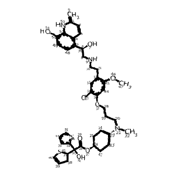 C=C1C=Cc2c([C@@H](O)CNCCc3cc(Cl)c(OCCCN(C)[C@H]4CC[C@H](OC(=O)C(O)(c5cccs5)C5CC=CS5)CC4)cc3OC)ccc(O)c2N1